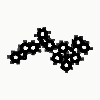 c1ccc([Si]2(c3ccccc3)c3ccccc3N(c3nccc4ccccc34)c3ccc(-c4ccc5c(c4)c4ccccc4n5-c4ccc5c(ccc6c7ccccc7oc56)c4)cc32)cc1